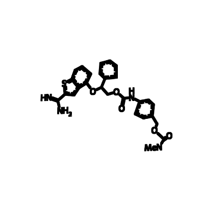 CNC(=O)OCc1ccc(NC(=O)OCC(Oc2cccc3sc(C(=N)N)cc23)c2ccccc2)cc1